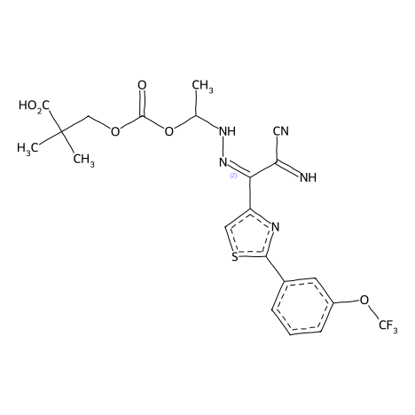 CC(N/N=C(\C(=N)C#N)c1csc(-c2cccc(OC(F)(F)F)c2)n1)OC(=O)OCC(C)(C)C(=O)O